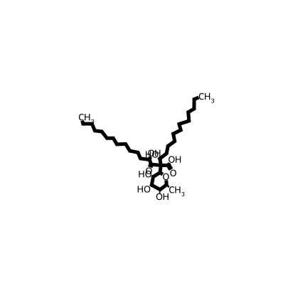 CCCCCCCCCCCCC(O)C(=O)C(C(=O)O)(C(O)CCCCCCCCCCC)C1O[C@@H](C)[C@H](O)[C@@H](O)[C@H]1O